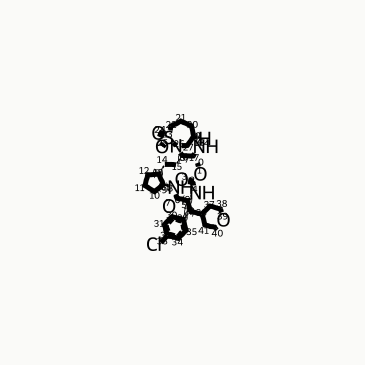 COC(=O)N[C@H](C(=O)N[C@H]1CCC[C@@H]1CC[C@H]1CN[C@@H]2CCCS(=O)(=O)N1C2)[C@@H](c1ccc(Cl)cc1)C1CCOCC1